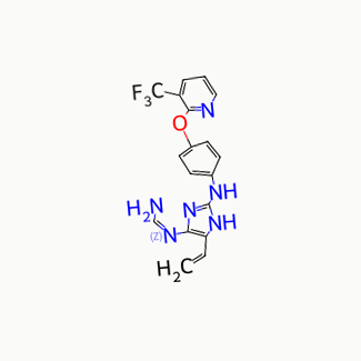 C=Cc1[nH]c(Nc2ccc(Oc3ncccc3C(F)(F)F)cc2)nc1/N=C\N